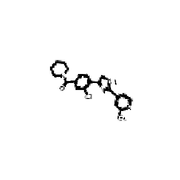 CC(C)(C)c1cc(-c2nc(-c3ccc(C(=O)N4CCCCC4)cc3Cl)c[nH]2)ccn1